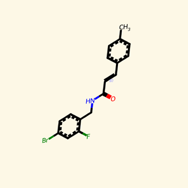 Cc1ccc(/C=C/C(=O)NCc2ccc(Br)cc2F)cc1